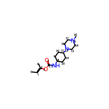 C/C=C(\C)OC(=O)N[C@H]1CC[C@@H](N2CCN(C)CC2)CC1